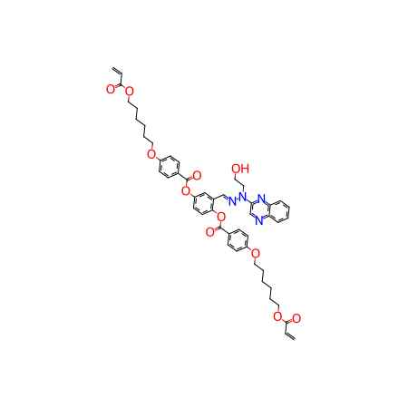 C=CC(=O)OCCCCCCOc1ccc(C(=O)Oc2ccc(OC(=O)c3ccc(OCCCCCCOC(=O)C=C)cc3)c(/C=N/N(CCO)c3cnc4ccccc4n3)c2)cc1